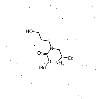 CCC(N)CN(CCCO)C(=O)OC(C)(C)C